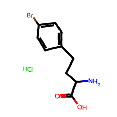 Cl.NC(CCc1ccc(Br)cc1)C(=O)O